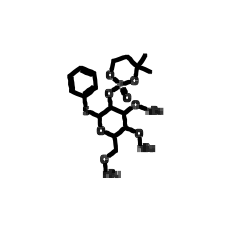 CCCCOCC1OC(Sc2ccccc2)C(OP2(=O)OCCC(C)(C)O2)C(OCCCC)C1OCCCC